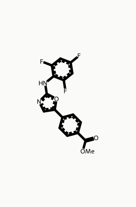 COC(=O)c1ccc(-c2cnc(Nc3c(F)cc(F)cc3F)o2)cc1